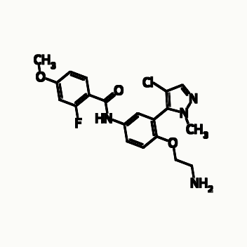 COc1ccc(C(=O)Nc2ccc(OCCN)c(-c3c(Cl)cnn3C)c2)c(F)c1